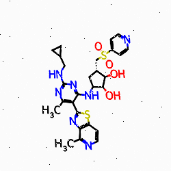 Cc1nc(NCC2CC2)nc(NC2C[C@H](CS(=O)(=O)c3ccncc3)[C@@H](O)[C@H]2O)c1-c1nc2c(C)nccc2s1